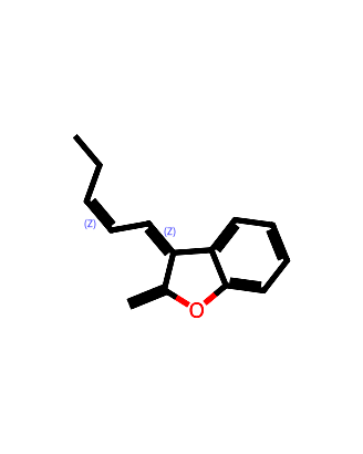 C=c1oc2ccccc2/c1=C/C=C\CC